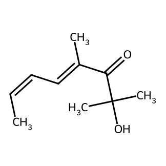 C/C=C\C=C(/C)C(=O)C(C)(C)O